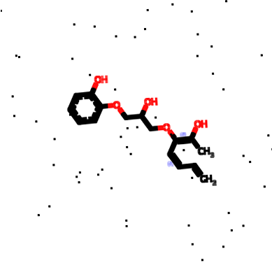 C=C/C=C\C(OCC(O)COc1ccccc1O)=C(/C)O